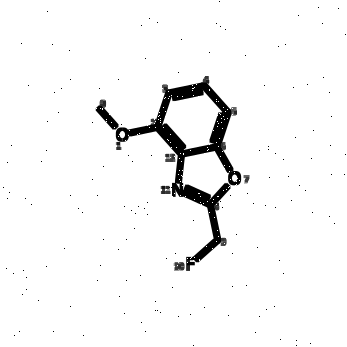 COc1cccc2oc(CF)nc12